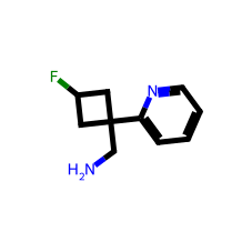 NCC1(c2ccccn2)CC(F)C1